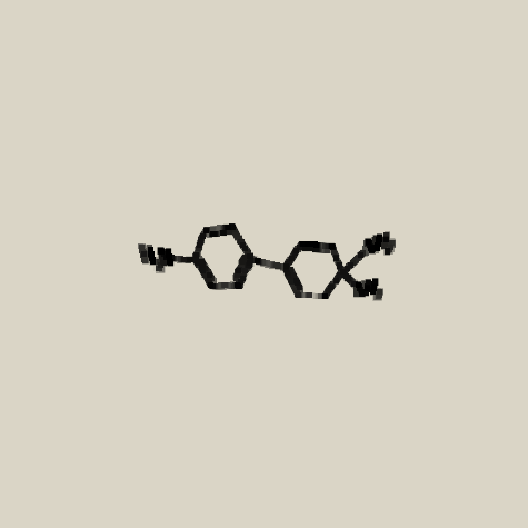 Nc1ccc(C2=CCC(N)(N)C=C2)cc1